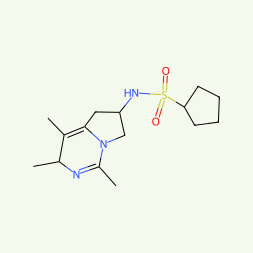 CC1=NC(C)C(C)=C2CC(NS(=O)(=O)C3CCCC3)CN12